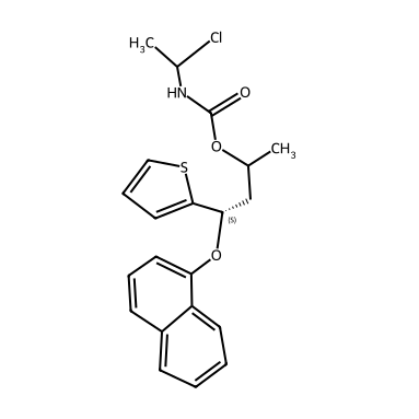 CC(Cl)NC(=O)OC(C)C[C@H](Oc1cccc2ccccc12)c1cccs1